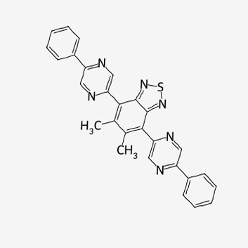 Cc1c(C)c(-c2cnc(-c3ccccc3)cn2)c2nsnc2c1-c1cnc(-c2ccccc2)cn1